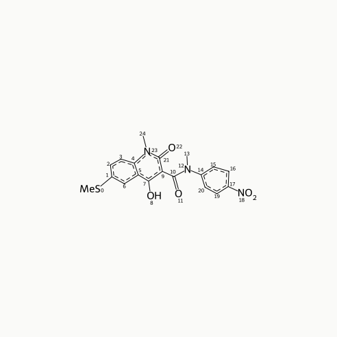 CSc1ccc2c(c1)c(O)c(C(=O)N(C)c1ccc([N+](=O)[O-])cc1)c(=O)n2C